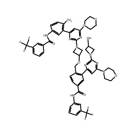 Cc1ccc(NC(=O)c2cccc(C(F)(F)F)c2)cc1-c1cc(N2CCOCC2)nc(N2CC(OCc3ccc(C(=O)Nc4cccc(C(F)(F)F)c4)cc3-c3cc(N4CCOCC4)nc(N4CC(O)C4)n3)C2)n1